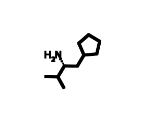 CC(C)[C@H](N)CC1CCCC1